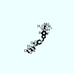 CC(C)(N)c1nc2c(F)c3c(c(F)c2[nH]1)CC(CN1CCC2(CC1)CN(c1cnc4c(n1)NC(=O)CO4)C(=O)O2)C3